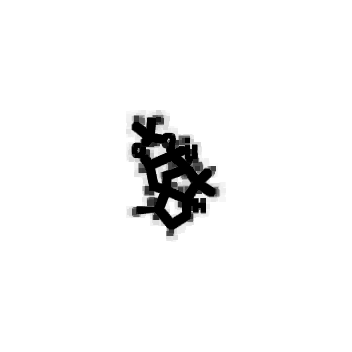 C[C@@H]1CC[C@H]2C(C)(C)[C@H]3CC12CC1OC(C)(C)OC13C